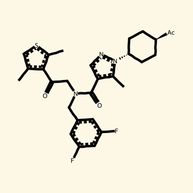 Cc1csc(C)c1C(=O)CN(Cc1cc(F)cc(F)c1)C(=O)c1cnn([C@H]2CC[C@H](C(C)=O)CC2)c1C